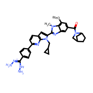 COc1cc(C(=O)N2CC3CCC2C3)cc2nc(-c3cc4ccc(-c5ccc(/C(=N/N)NN)cc5)nc4n3CC3CC3)n(C)c12